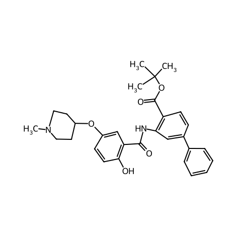 CN1CCC(Oc2ccc(O)c(C(=O)Nc3cc(-c4ccccc4)ccc3C(=O)OC(C)(C)C)c2)CC1